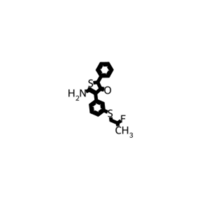 CC(F)CSc1cccc(C2=C(N)SC(c3ccccc3)C2=O)c1